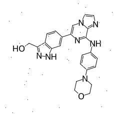 OCc1n[nH]c2cc(-c3cn4ccnc4c(Nc4ccc(N5CCOCC5)cc4)n3)ccc12